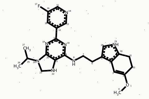 COC1=Cc2c(CCNc3nc(-c4cncc(F)c4)nc4c3NCN4C(C)C)c[nH]c2CC1